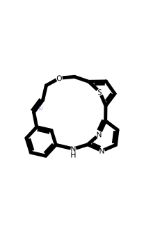 C1=C/c2cccc(c2)Nc2nccc(n2)-c2ccc(s2)COC/1